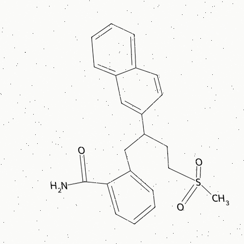 CS(=O)(=O)CCC(Cc1ccccc1C(N)=O)c1ccc2ccccc2c1